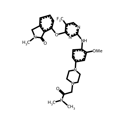 COc1cc(N2CCN(CC(=O)N(C)C)CC2)ccc1Nc1ncc(C(F)(F)F)c(Oc2cccc3c2C(=O)N(C)C3)n1